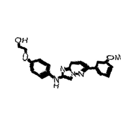 COc1cccc(-c2ccc3nc(Nc4ccc(OCCO)cc4)cn3n2)c1